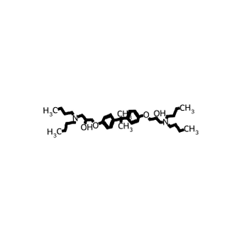 CCCCN(CCCC)CC(O)COc1ccc(C(C)(C)c2ccc(OCC(O)CN(CCCC)CCCC)cc2)cc1